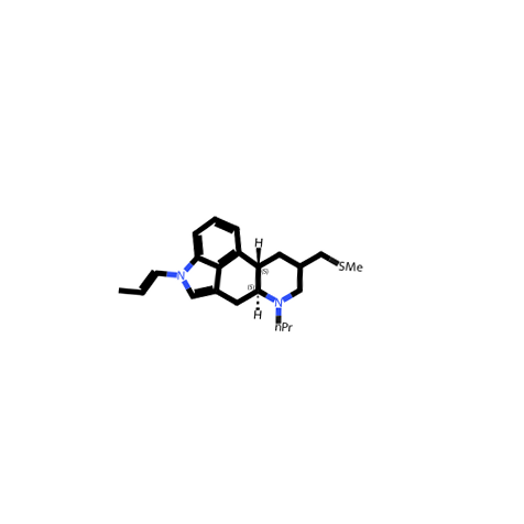 CC=Cn1cc2c3c(cccc31)[C@@H]1CC(CSC)CN(CCC)[C@H]1C2